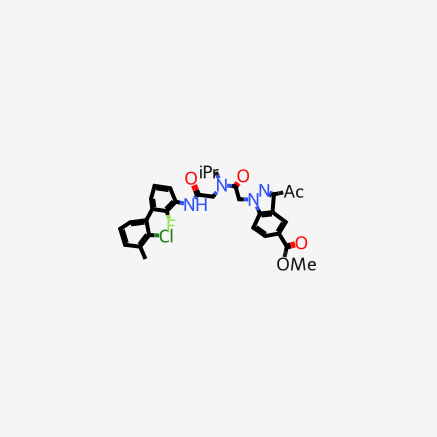 COC(=O)c1ccc2c(c1)c(C(C)=O)nn2CC(=O)N(CC(=O)Nc1cccc(-c2cccc(C)c2Cl)c1F)C(C)C